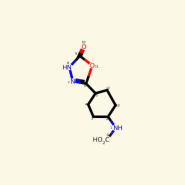 O=C(O)NC1CCC(c2n[nH]c(=O)o2)CC1